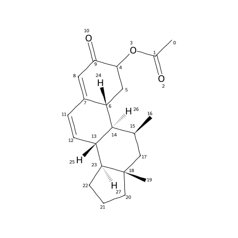 CC(=O)OC1C[C@H]2C(=CC1=O)C=C[C@@H]1[C@@H]2[C@@H](C)C[C@]2(C)CCC[C@@H]12